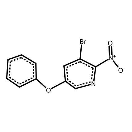 O=[N+]([O-])c1ncc(Oc2ccccc2)cc1Br